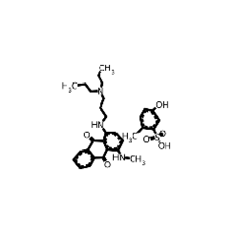 CCCN(CCC)CCCNc1ccc(NC)c2c1C(=O)c1ccccc1C2=O.Cc1ccc(O)cc1S(=O)(=O)O